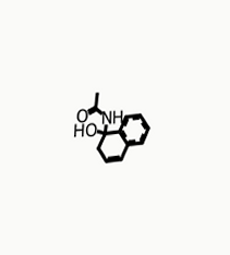 CC(=O)NC1(O)CC=Cc2ccccc21